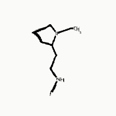 CN1CCCC1CCNI